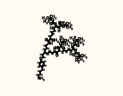 CC(C)(C)OC(=O)/N=C(\NCCCC[C@@H](N)C(=O)NCCCN(CCCNC(=O)[C@@H](CCCCN/C(=N\C(=O)OC(C)(C)C)NC(=O)OC(C)(C)C)NC(=O)OC(C)(C)C)CCOc1ccc(CCCCN)cc1)NC(=O)OC(C)(C)C